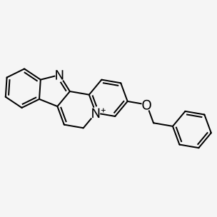 C1=C2C(=Nc3ccccc32)c2ccc(OCc3ccccc3)c[n+]2C1